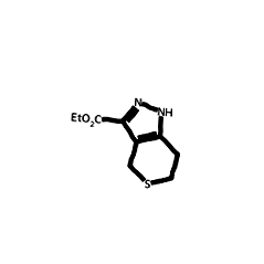 CCOC(=O)c1n[nH]c2c1CSCC2